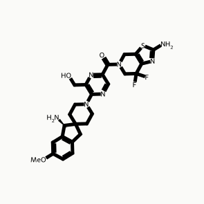 COc1ccc2c(c1)[C@@H](N)C1(CCN(c3ncc(C(=O)N4Cc5sc(N)nc5C(F)(F)C4)nc3CO)CC1)C2